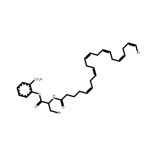 CC/C=C\C/C=C\C/C=C\C/C=C\C/C=C\C/C=C\CCCC(=O)NC(CC(C)C)C(=O)Oc1ccccc1C(=O)O